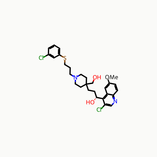 COc1ccc2ncc(Cl)c([C@H](O)CCC3(CO)CCN(CCCSc4cccc(Cl)c4)CC3)c2c1